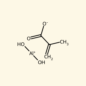 C=C(C)C(=O)[O-].[OH][Al+][OH]